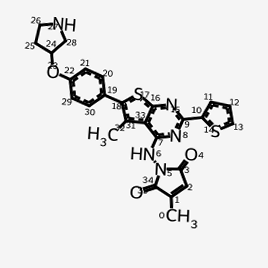 CC1=CC(=O)N(Nc2nc(-c3cccs3)nc3sc(-c4ccc(OC5CCNC5)cc4)c(C)c23)C1=O